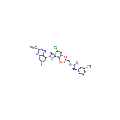 COc1cnc2c(-c3nc4c(Cl)cc5c(c4s3)OC[C@H](COC(=O)Nc3cncc(C#N)c3)O5)cc(C)cc2n1